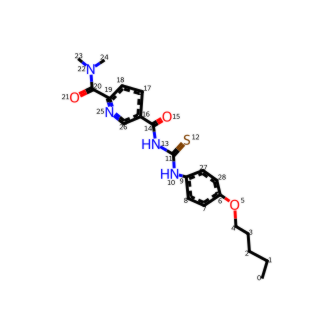 CCCCCOc1ccc(NC(=S)NC(=O)c2ccc(C(=O)N(C)C)nc2)cc1